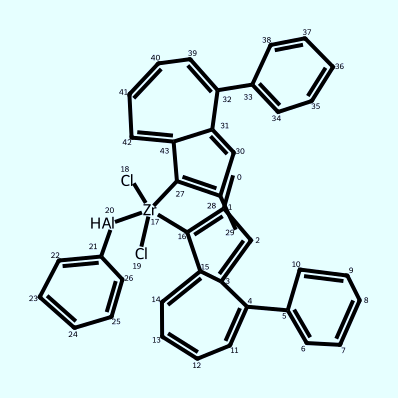 Cc1cc2c(-c3ccccc3)ccccc-2[c]1[Zr]([Cl])([Cl])([AlH][c]1ccccc1)[c]1c(C)cc2c(-c3ccccc3)ccccc1-2